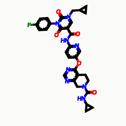 O=C(Nc1ccc(Oc2ncnc3c2CCN(C(=O)NC2CC2)C3)cn1)c1cn(CC2CC2)c(=O)n(-c2ccc(F)cc2)c1=O